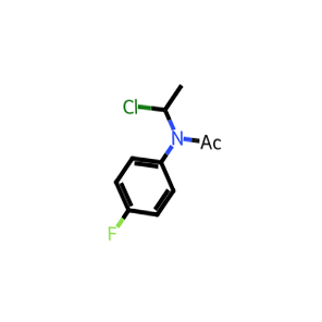 CC(=O)N(c1ccc(F)cc1)C(C)Cl